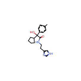 Cc1ccc(C(O)(C(=O)NCCc2c[nH]cn2)C2CCCC2)cc1